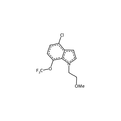 COCCn1ccc2c(Cl)ccc(OC(F)(F)F)c21